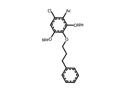 COc1cc(Cl)c(C(C)=O)c(OC)c1OCCCc1ccccc1